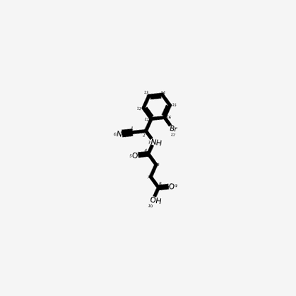 N#CC(NC(=O)CCC(=O)O)c1ccccc1Br